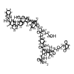 Cc1c(Nc2nc3ccccc3s2)nnc2c1CCCN2c1ccc(-c2cnn(CC34CC5(OCCN(CCCCO)C(=O)OCc6ccc(NC(=O)[C@H](CCCNC(N)=O)NC(=O)[C@@H](NC(=O)CCOCCN7C(=O)C=CC7=O)C(C)C)cc6)C[C@](C)(C3)C[C@](C)(C4)C5)c2C)c(C(=O)O)n1